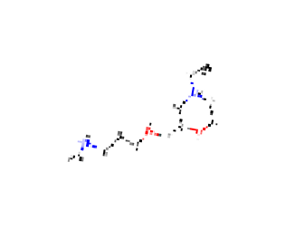 CC(C)CN1CCOC(COCCCNC(C)C)C1